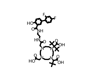 CC(C)(C)C(C(=O)O)N1CCN(CC(=O)O)CCN(CC(=O)NCCNC(=O)c2cc(-c3ccc(F)cc3F)ccc2O)CCN(C(C(=O)O)(C(C)(C)C)C(C)(C)C)CC1